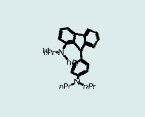 CCCN(CCC)c1ccc(C2c3ccccc3-c3cccc(N(CCC)CCC)c32)cc1.I